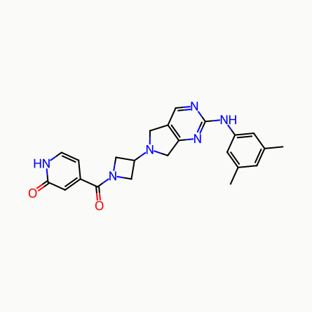 Cc1cc(C)cc(Nc2ncc3c(n2)CN(C2CN(C(=O)c4cc[nH]c(=O)c4)C2)C3)c1